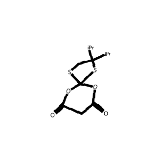 CC(C)C1(C(C)C)CSC2(OC(=O)CC(=O)O2)S1